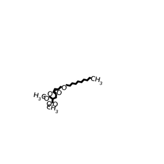 CCCCCCCCCCOCc1ccc(CC(C(=O)OC)C(=O)OC)o1